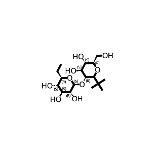 CC[C@H]1O[C@@H](O[C@H]2C(C(C)(C)C)O[C@H](CO)[C@@H](O)[C@@H]2O)[C@H](O)[C@@H](O)[C@@H]1O